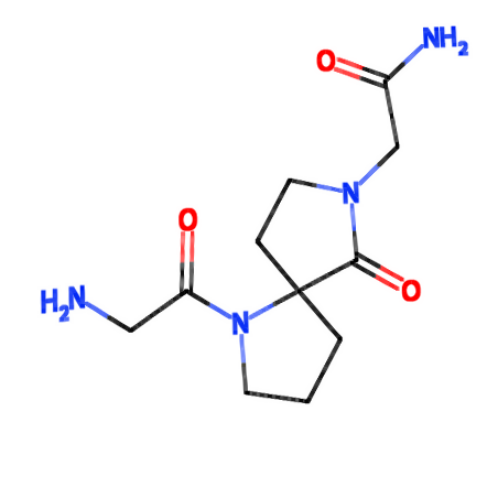 NCC(=O)N1CCCC12CCN(CC(N)=O)C2=O